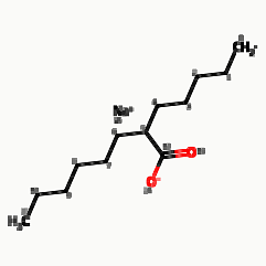 [CH2]CCCCC(CCCCCC)C(=O)[O-].[Na+]